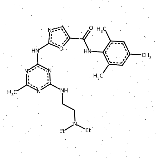 CCN(CC)CCNc1nc(C)nc(Nc2ncc(C(=O)Nc3c(C)cc(C)cc3C)o2)n1